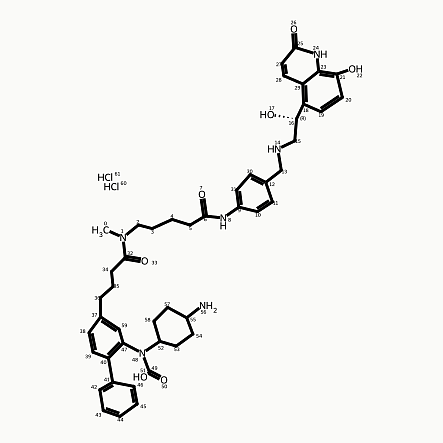 CN(CCCCC(=O)Nc1ccc(CNC[C@H](O)c2ccc(O)c3[nH]c(=O)ccc23)cc1)C(=O)CCCc1ccc(-c2ccccc2)c(N(C(=O)O)C2CCC(N)CC2)c1.Cl.Cl